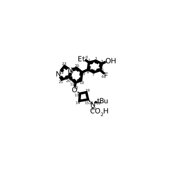 CCc1cc(O)c(F)cc1-c1cc(O[C@H]2C[C@@H](N(C(=O)O)C(C)(C)C)C2)c2cncn2c1